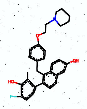 Cc1c(-c2ccc3cc(O)ccc3c2Cc2ccc(OCCN3CCCCC3)cc2)ccc(F)c1O